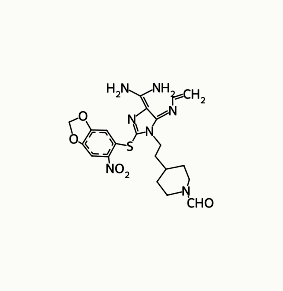 C=C/N=C1\C(=C(N)N)N=C(Sc2cc3c(cc2[N+](=O)[O-])OCO3)N1CCC1CCN(C=O)CC1